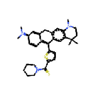 CN1CCC(C)(C)c2cc3c(cc21)CC1=CC(=[N+](C)C)C=CC1=C3c1ccc(C(=S)N2CCCCC2)s1